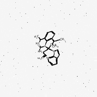 C=CCC(C)(N(C(N)=O)c1c(C(C)C)cccc1C(C)C)n1ccc2cccnc21